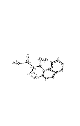 CCOC(=O)N(c1c(C)ccc2ccccc12)[C@@H](C)C(=O)OC